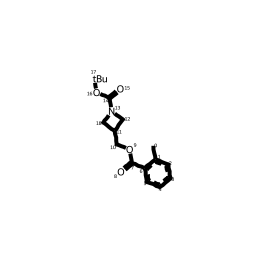 Cc1ccccc1C(=O)OCC1CN(C(=O)OC(C)(C)C)C1